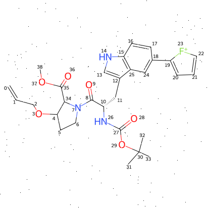 C=CCOC1CCN(C(=O)[C@H](Cc2c[nH]c3ccc(C4=CC=C[F+]4)cc23)NC(=O)OC(C)(C)C)C1C(=O)OC